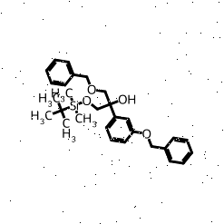 CC(C)(C)[Si](C)(C)OCC(O)(COCc1ccccc1)c1cccc(OCc2ccccc2)c1